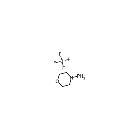 F[B-](F)(F)F.[PH3+]N1CCOCC1